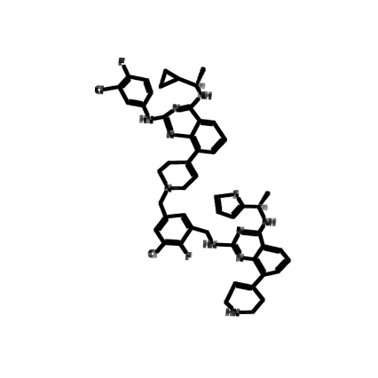 C[C@@H](Nc1nc(NCc2cc(CN3CC=C(c4cccc5c(N[C@H](C)C6CC6)nc(Nc6ccc(F)c(Cl)c6)nc45)CC3)cc(Cl)c2F)nc2c(C3=CCNCC3)cccc12)c1cccs1